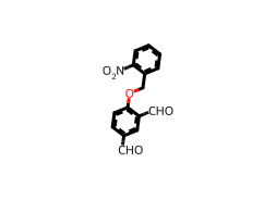 O=Cc1ccc(OCc2ccccc2[N+](=O)[O-])c(C=O)c1